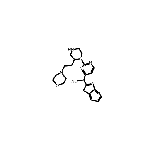 N#CC(c1ccnc(N2CCNCC2CCN2CCOCC2)n1)c1nc2ccccc2s1